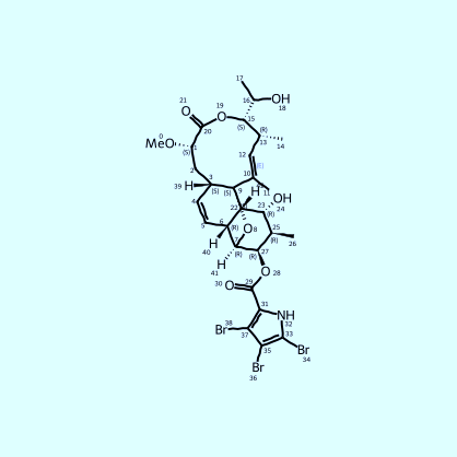 CO[C@H]1C[C@H]2C=C[C@H]3[C@H]4O[C@]2(/C(C)=C/[C@@H](C)[C@@H](C(C)O)OC1=O)[C@@H]3[C@H](O)[C@@H](C)[C@H]4OC(=O)c1[nH]c(Br)c(Br)c1Br